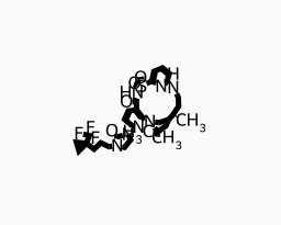 C[C@H]1CCNc2cccc(n2)S(=O)(=O)NC(=O)c2ccc(N3CCN(CCCC4(C(F)(F)F)CC4)C3=O)nc2N2CC1CC2(C)C